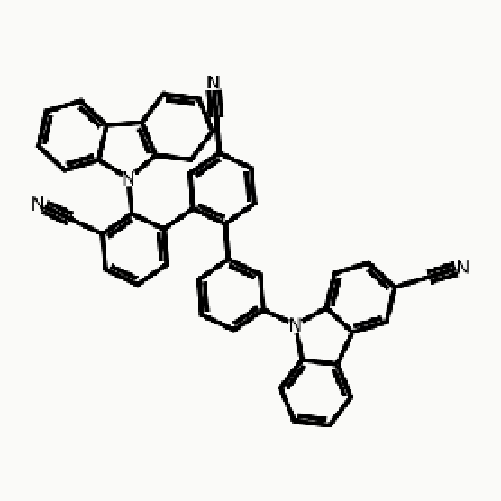 N#Cc1ccc(-c2cccc(-n3c4ccccc4c4cc(C#N)ccc43)c2)c(-c2cccc(C#N)c2-n2c3c(c4ccccc42)C=CCC3)c1